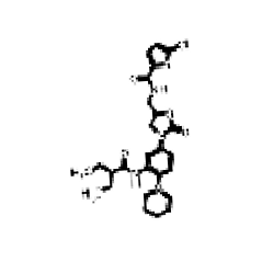 CCC(CC)C(=O)Nc1cc(N2CC(CNC(=O)c3ccc(Cl)s3)OC2=O)ccc1N1CCCCC1